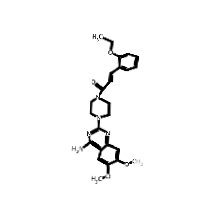 CCOc1ccccc1C=CC(=O)N1CCN(c2nc(N)c3cc(OC)c(OC)cc3n2)CC1